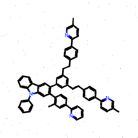 Cc1ccc(-c2ccc(CCc3cc(CCc4ccc(-c5ccc(C)cn5)cc4)cc(-c4cc5c6ccccc6n(-c6ccccc6)c5cc4-c4ccc(-c5ccccn5)cc4C)c3)cc2)nc1